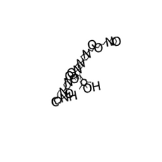 Cc1cc(C[C@@H](OC(=O)N2CCC(N3CCc4ccccc4NC3=O)CC2)C(=O)N2CCN(C3CCN(CCC(=O)OCCCN4CCOCC4)CC3)CC2)cc(C)c1O